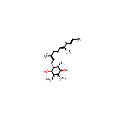 COC1=C(OC)[C@H](O)[C@H](C/C=C(\C)CC/C=C(\C)C/C=C/C(C)(C)C)[C@@H](C)C1=O